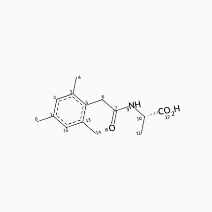 Cc1cc(C)c(CC(=O)N[C@@H](C)C(=O)O)c(C)c1